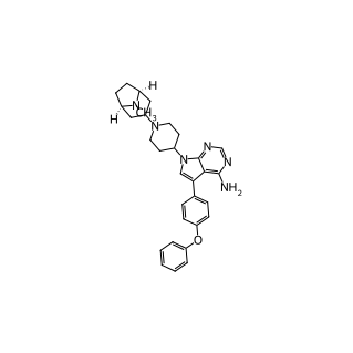 CN1[C@@H]2CC[C@H]1CC(N1CCC(n3cc(-c4ccc(Oc5ccccc5)cc4)c4c(N)ncnc43)CC1)C2